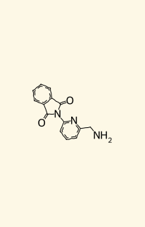 NCc1cccc(N2C(=O)c3ccccc3C2=O)n1